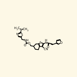 CN(C)c1ncc(CNC(=O)OCC2CCc3c(sc(NC(=O)C=Cc4ccoc4)c3C#N)C2)s1